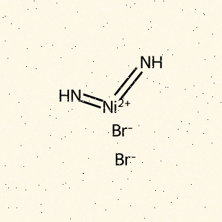 [Br-].[Br-].[NH]=[Ni+2]=[NH]